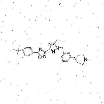 Cc1nc(-c2noc(-c3ccc(C(C)(C)C)cc3)n2)nn1Cc1cccc(N2CCN(C)CC2)c1